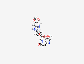 COc1cnc2ccc(=O)n(CC(O)C34CCC(N(C)c5cc6c(cn5)OCCO6)(CC3)CO4)c2c1